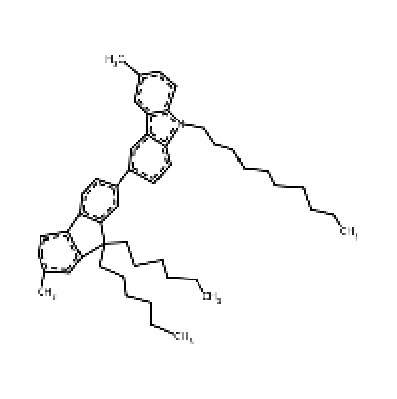 CCCCCCCCCCn1c2ccc(C)cc2c2cc(-c3ccc4c(c3)C(CCCCCC)(CCCCCC)c3cc(C)ccc3-4)ccc21